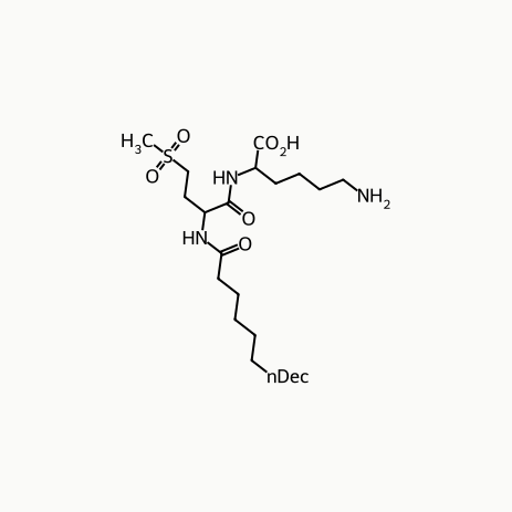 CCCCCCCCCCCCCCCC(=O)NC(CCS(C)(=O)=O)C(=O)NC(CCCCN)C(=O)O